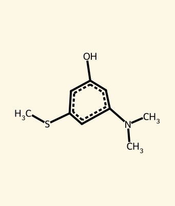 CSc1cc(O)cc(N(C)C)c1